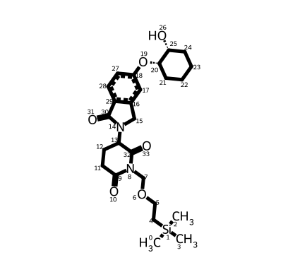 C[Si](C)(C)CCOCN1C(=O)CCC(N2Cc3cc(O[C@H]4CCCC[C@H]4O)ccc3C2=O)C1=O